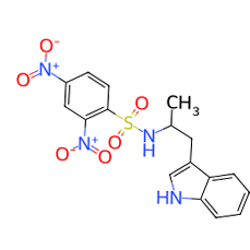 CC(Cc1c[nH]c2ccccc12)NS(=O)(=O)c1ccc([N+](=O)[O-])cc1[N+](=O)[O-]